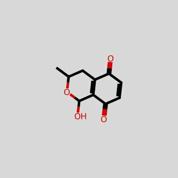 CC1CC2=C(C(=O)C=CC2=O)C(O)O1